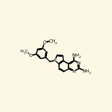 COc1cc(Cn2ccc3c4c(N)nc(N)nc4ccc32)cc(OC)c1